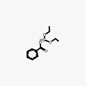 CCO[SiH](OCC)OC(=O)c1ccccc1